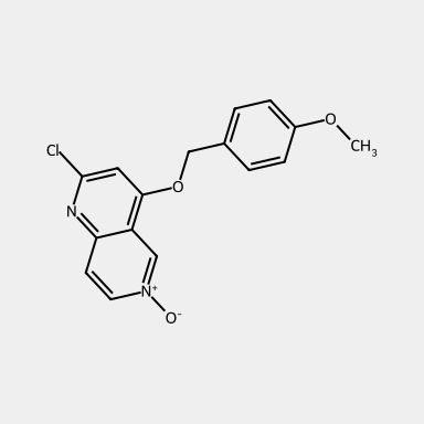 COc1ccc(COc2cc(Cl)nc3cc[n+]([O-])cc23)cc1